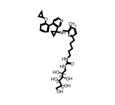 Cc1ccc(CCCCCNC(=O)NC[C@H](O)[C@@H](O)[C@H](O)[C@H](O)CO)nc1CNC1(c2cnccc2-c2ccccc2OC2CC2)CC1